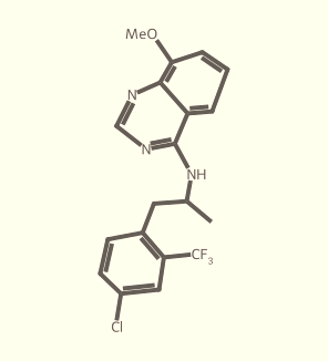 COc1cccc2c(NC(C)Cc3ccc(Cl)cc3C(F)(F)F)ncnc12